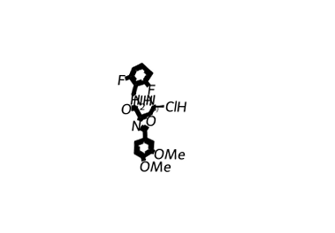 COc1ccc(-c2nc(C(=O)NCc3c(F)cccc3F)c([C@H](C)N)o2)cc1OC.Cl